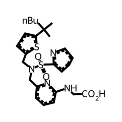 CCCCC(C)(C)c1ccc(CN(Cc2cccc(NCC(=O)O)n2)S(=O)(=O)c2ccccn2)s1